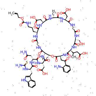 C=CCOC(=O)NCCC[C@@H]1NC(=O)CNC(=O)[C@@H](NC(=O)[C@H](CC(=O)O)NC(=O)[C@@H](CC(N)=O)NC(=O)[C@H](Cc2c[nH]c3ccccc23)NC(N)=S)[C@@H](C)OC(=O)[C@H](CC(=O)c2ccccc2N)NC(=O)[C@H](C(C)CC(=O)O)NC(=O)[C@@H](CO)NC(=O)CNC(=O)[C@H](CC(=O)O)NC(=O)[C@@H](C)NC(=O)[C@H](CC(=O)O)NC1=O